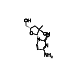 CC1(O)C[C@@H](CO)O[C@H]1n1ccc(N)nc1=O